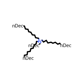 CCCCCCCCCCCCCCCCCCC[N+](CCCCCCCCCCC)(CCCCCCCCCCCCCCCCCCC)CCCCCCCCCCCCCCCCCCC